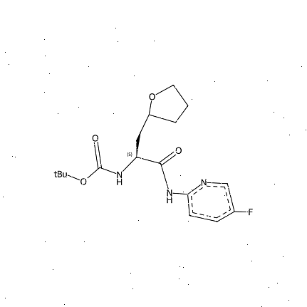 CC(C)(C)OC(=O)N[C@@H](CC1CCCO1)C(=O)Nc1ccc(F)cn1